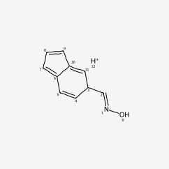 ON=CC1C=CC2=CC=CC2=C1.[H+]